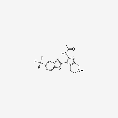 CC(=O)Nc1sc2c(c1-c1nc3cc(C(F)(F)F)ccc3s1)CCNC2